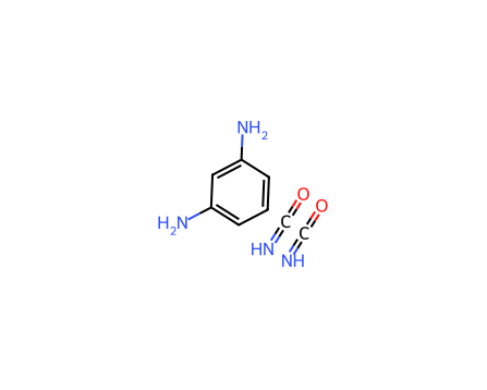 N=C=O.N=C=O.Nc1cccc(N)c1